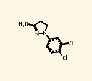 NC1=NN(c2ccc(Cl)c(Cl)c2)CC1